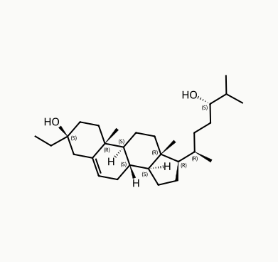 CC[C@]1(O)CC[C@@]2(C)C(=CC[C@H]3[C@@H]4CC[C@H]([C@H](C)CC[C@H](O)C(C)C)[C@@]4(C)CC[C@@H]32)C1